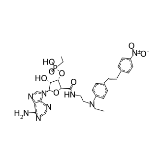 CCN(CCNC(=O)[C@H]1O[C@@H](n2cnc3c(N)ncnc32)[C@H](O)[C@@H]1OP(=O)(O)CC)c1ccc(/C=C/c2ccc([N+](=O)[O-])cc2)cc1